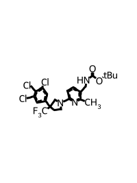 Cc1nc(N2CCC(c3cc(Cl)c(Cl)c(Cl)c3)(C(F)(F)F)C2)ccc1CNC(=O)OC(C)(C)C